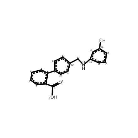 O=C(O)c1ccccc1-c1ccc(CNc2cccc(F)c2)cc1